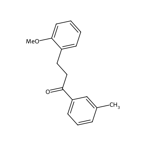 COc1ccccc1CCC(=O)c1cccc(C)c1